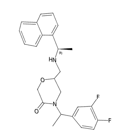 CC(c1ccc(F)c(F)c1)N1CC(CN[C@H](C)c2cccc3ccccc23)OCC1=O